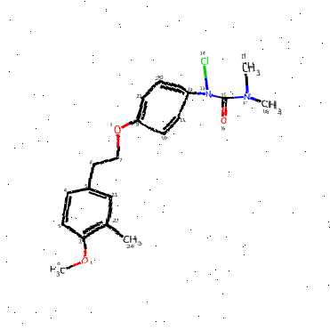 COc1ccc(CCOc2ccc(N(Cl)C(=O)N(C)C)cc2)cc1C